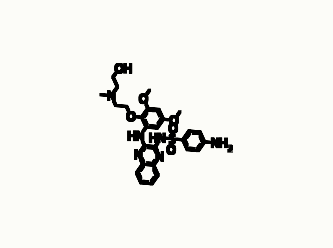 COc1cc(Nc2nc3ccccc3nc2NS(=O)(=O)c2ccc(N)cc2)c(OCCN(C)CCO)c(OC)c1